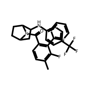 Cc1ccc(C(=O)N2C3CCC2C(Nc2ccc(C(F)(F)F)cn2)C3)c(-c2ncccn2)c1F